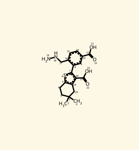 CC1(C)CCc2sc(-c3cc(C(=O)O)ccc3CNN)c(C(=O)O)c2C1